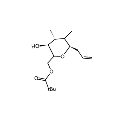 C=CC[C@H]1OC(COC(=O)C(C)(C)C)[C@@H](O)[C@H](C)C1C